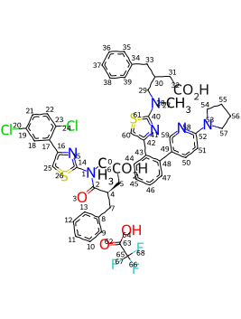 CN(C(=O)[C@@H](CC(=O)O)Cc1ccccc1)c1nc(-c2cc(Cl)ccc2Cl)cs1.CN(CC(CC(=O)O)Cc1ccccc1)c1nc(-c2ccccc2-c2ccc(N3CCCC3)nc2)cs1.O=C(O)C(F)(F)F